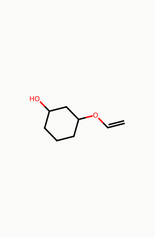 C=COC1CCCC(O)C1